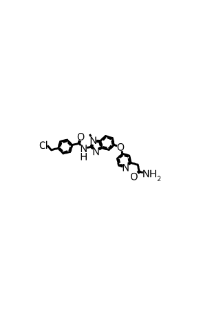 Cn1c(NC(=O)c2ccc(CCl)cc2)nc2cc(Oc3ccnc(CC(N)=O)c3)ccc21